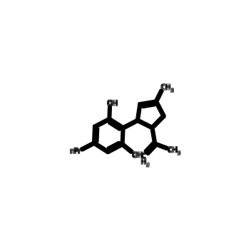 C=C(C)C1CC(C)=CC1c1c(O)cc(CCC)cc1O